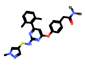 CCN(CC)C(=O)Cc1ccc(Oc2cc(-c3c(C)cccc3C)nc(NSc3cnn(C)c3)n2)cc1